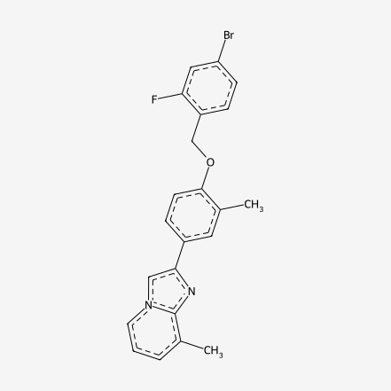 Cc1cc(-c2cn3cccc(C)c3n2)ccc1OCc1ccc(Br)cc1F